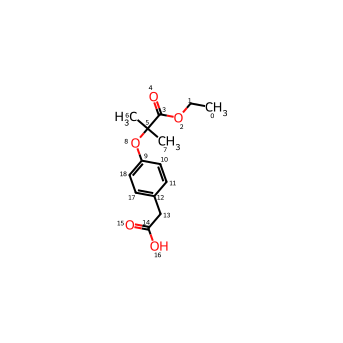 CCOC(=O)C(C)(C)Oc1ccc(CC(=O)O)cc1